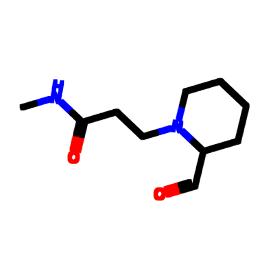 CNC(=O)CCN1CCCCC1C=O